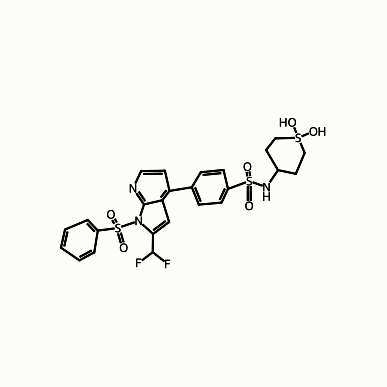 O=S(=O)(NC1CCS(O)(O)CC1)c1ccc(-c2ccnc3c2cc(C(F)F)n3S(=O)(=O)c2ccccc2)cc1